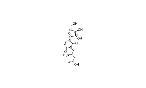 NC(CC(=O)O)Cn1c(=O)ccn([C@@H]2O[C@H](CO)[C@@H](O)[C@H]2O)c1=O